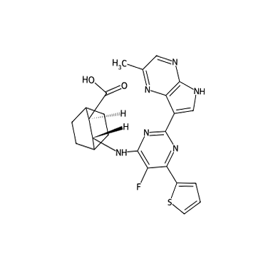 Cc1cnc2[nH]cc(-c3nc(N[C@@H]4C5CCC(CC5)[C@H]4C(=O)O)c(F)c(-c4cccs4)n3)c2n1